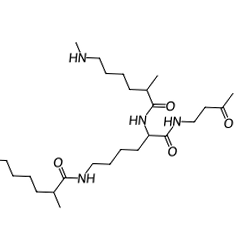 CCCCCC(C)C(=O)NCCCCC(NC(=O)C(C)CCCCNC)C(=O)NCCC(C)=O